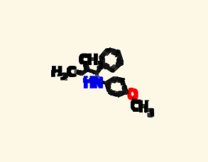 C=CC(=C)C(Nc1ccc(OC)cc1)c1ccccc1